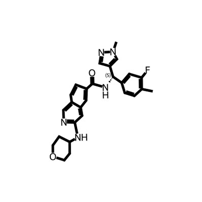 Cc1ccc([C@H](NC(=O)c2ccc3cnc(NC4CCOCC4)cc3c2)c2cnn(C)c2)cc1F